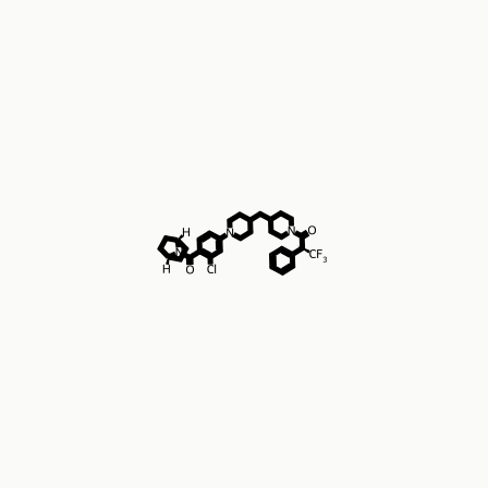 O=C([C@H](c1ccccc1)C(F)(F)F)N1CCC(CC2CCN(c3ccc(C(=O)N4[C@H]5CC[C@@H]4CC5)c(Cl)c3)CC2)CC1